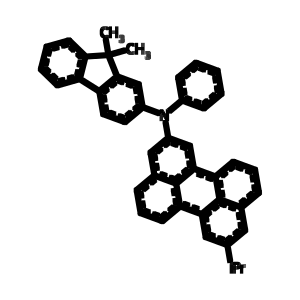 CC(C)c1cc2cccc3c4cc(N(c5ccccc5)c5ccc6c(c5)C(C)(C)c5ccccc5-6)cc5cccc(c(c1)c23)c54